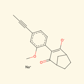 CC#Cc1ccc(C2=C([O-])C3CCC(C3)C2=O)c(OC)c1.[Na+]